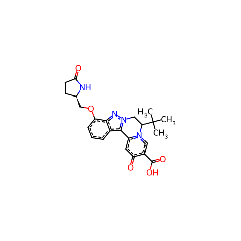 CC(C)(C)C1Cn2nc3c(OC[C@H]4CCC(=O)N4)cccc3c2-c2cc(=O)c(C(=O)O)cn21